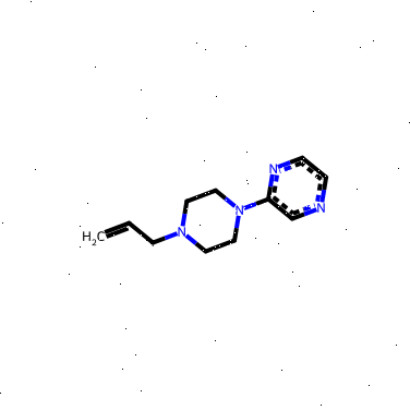 C=C[CH]N1CCN(c2cnccn2)CC1